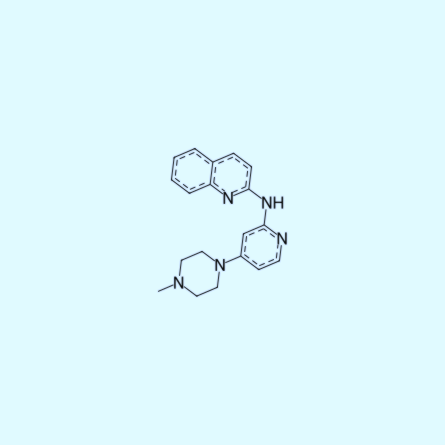 CN1CCN(c2ccnc(Nc3ccc4ccccc4n3)c2)CC1